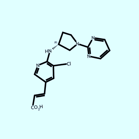 O=C(O)C=Cc1cnc(N[C@@H]2CCN(c3ncccn3)C2)c(Cl)c1